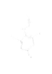 S=POc1c(Br)cc(Br)cc1Br